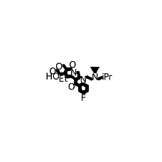 CC[C@@]1(O)C(=O)OCc2c1cc1n(c2=O)Cc2c-1c(=O)c1cc(F)ccc1n2CCN(CC(C)C)C1CC1